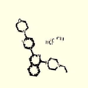 CCN1CCN(c2nc(-c3ccc(N4CCOCC4)nc3)cc3ccccc23)CC1.Cl.Cl.Cl